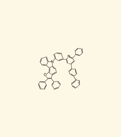 c1ccc(-c2ccc(-c3cc(-c4ccccc4)nc(-c4cccc(-n5c6ccccc6c6c7oc(-c8ccccc8)c(-c8ccccc8)c7ccc65)c4)c3)cc2)cc1